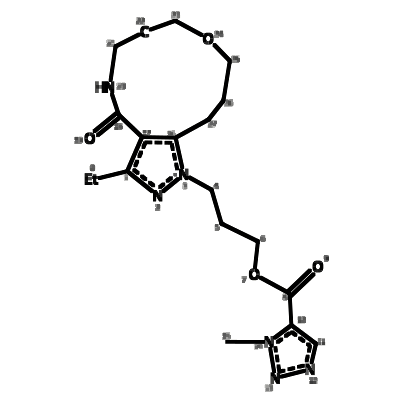 CCc1nn(CCCOC(=O)c2cnnn2C)c2c1C(=O)NCCCOCCC2